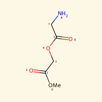 COC(=O)COC(=O)CN